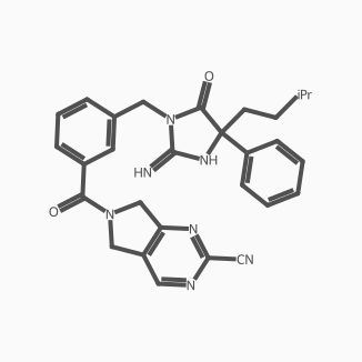 CC(C)CCC1(c2ccccc2)NC(=N)N(Cc2cccc(C(=O)N3Cc4cnc(C#N)nc4C3)c2)C1=O